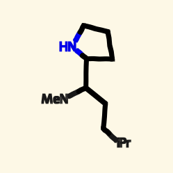 CNC(CCC(C)C)C1CCCN1